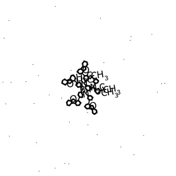 CC(C)(C)c1cccc(N(c2cccc(C(C)(C)C)c2)c2cc3c4c(c2)N(c2cccc(-c5cccc6c5oc5ccccc56)c2)c2cc(-c5cccc6c5oc5ccccc56)ccc2B4c2ccc(-c4cccc5c4oc4ccccc45)cc2N3c2cccc(-c3cccc4c3oc3ccccc34)c2)c1